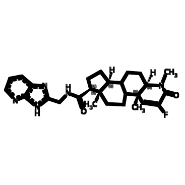 CN1C(=O)C(F)=C[C@]2(C)C3CC[C@]4(C)[C@@H](C(=O)NCc5nc6cccnc6[nH]5)CC[C@H]4C3CC[C@@H]12